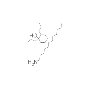 CCCC1CCCCC1(O)CCC.CCCCCCCCCCCCN